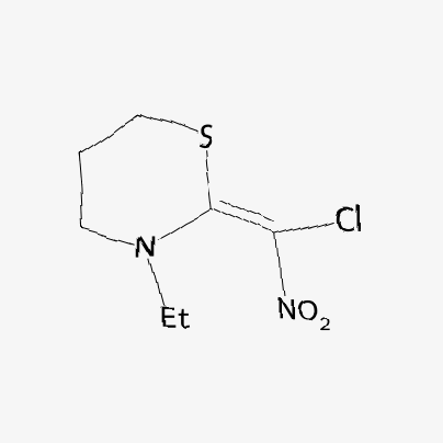 CCN1CCCSC1=C(Cl)[N+](=O)[O-]